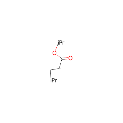 CC(C)C[CH]C(=O)OC(C)C